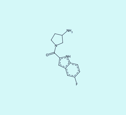 NC1CCN(C(=O)c2cc3cc(F)ccc3[nH]2)C1